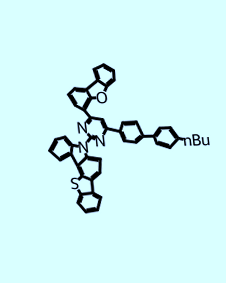 CCCCc1ccc(-c2ccc(-c3cc(-c4cccc5c4oc4ccccc45)nc(-n4c5ccccc5c5c6sc7ccccc7c6ccc54)n3)cc2)cc1